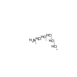 Cl.Cl.Cl.Cl.Cl.[BiH3]